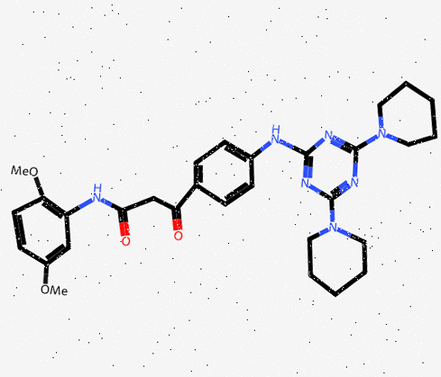 COc1ccc(OC)c(NC(=O)CC(=O)c2ccc(Nc3nc(N4CCCCC4)nc(N4CCCCC4)n3)cc2)c1